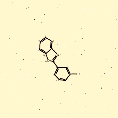 Fc1cccc(-c2nc3ccccc3o2)c1